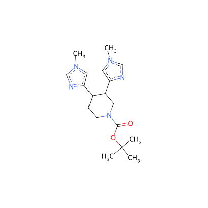 Cn1cnc(C2CCN(C(=O)OC(C)(C)C)CC2c2cn(C)cn2)c1